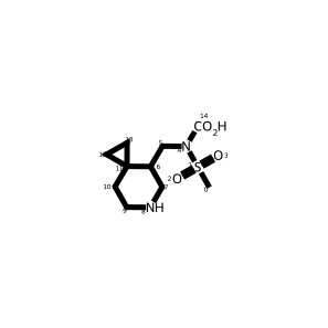 CS(=O)(=O)N(CC1CNCCC12CC2)C(=O)O